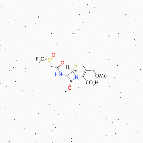 COCC1=C(C(=O)O)N2C(=O)C(NC(=O)C[S+]([O-])C(F)(F)F)[C@H]2SC1